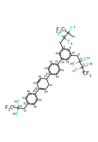 CC(F)(C(F)(F)F)C(F)(F)Cc1cc(CC(F)(F)C(F)(F)C(F)(F)F)cc(-c2ccc(C3C=CC(c4ccc(CC(F)(F)C(F)(F)F)cc4)=CC3)cc2)c1